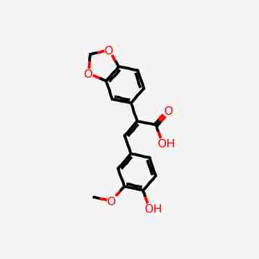 COc1cc(C=C(C(=O)O)c2ccc3c(c2)OCO3)ccc1O